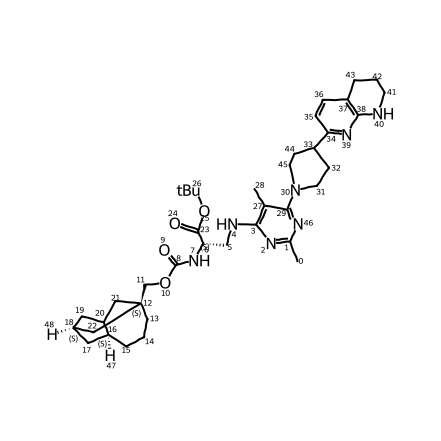 Cc1nc(NC[C@H](NC(=O)OC[C@]23CCC[C@H]4C[C@@H](CC4C2)C3)C(=O)OC(C)(C)C)c(C)c(N2CCC(c3ccc4c(n3)NCCC4)CC2)n1